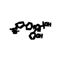 C[S+]([O-])c1cccc(-c2ccc(-n3cc(C(C)(C)O)nc3-c3ccccc3O)cc2)c1